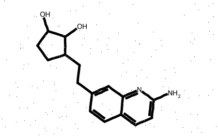 Nc1ccc2ccc(CCC3CCC(O)C3O)cc2n1